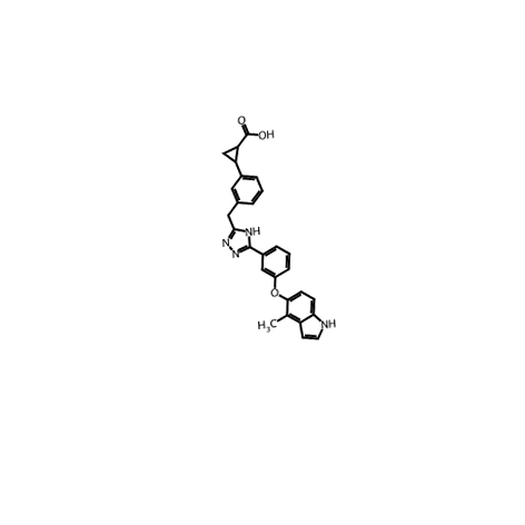 Cc1c(Oc2cccc(-c3nnc(Cc4cccc(C5CC5C(=O)O)c4)[nH]3)c2)ccc2[nH]ccc12